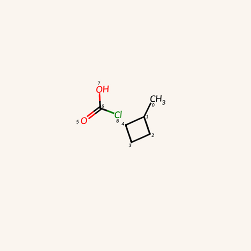 CC1CCC1.O=C(O)Cl